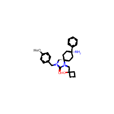 COc1ccc(CN2C[C@]3(CC[C@](N)(c4ccccc4)CC3)N(CC3(O)CCC3)C2=O)cc1